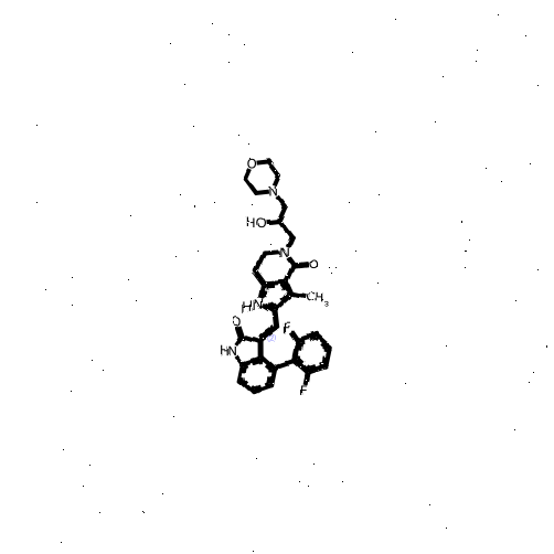 Cc1c(/C=C2\C(=O)Nc3cccc(-c4c(F)cccc4F)c32)[nH]c2c1C(=O)N(CC(O)CN1CCOCC1)CC2